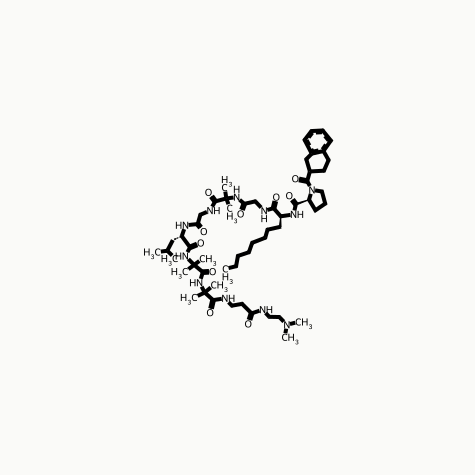 CCCCCCCC[C@H](NC(=O)[C@@H]1CCCN1C(=O)C1CCc2ccccc2C1)C(=O)NCC(=O)NC(C)(C)C(=O)NCC(=O)N[C@@H](CC(C)C)C(=O)NC(C)(C)C(=O)NC(C)(C)C(=O)NCCC(=O)NCCN(C)C